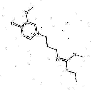 CCCC(=NCCCn1ccc(=O)c(OC)c1)OC